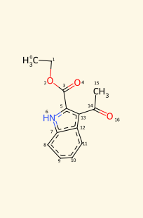 CCOC(=O)c1[nH]c2ccccc2c1C(C)=O